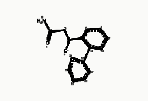 NC(=O)CC([O])c1ccccc1-c1ccccc1